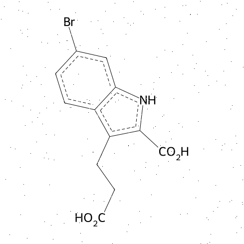 O=C(O)CCc1c(C(=O)O)[nH]c2cc(Br)ccc12